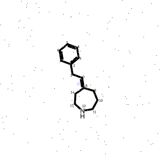 C(/Cc1ccccc1)=C1\CCCNCC1